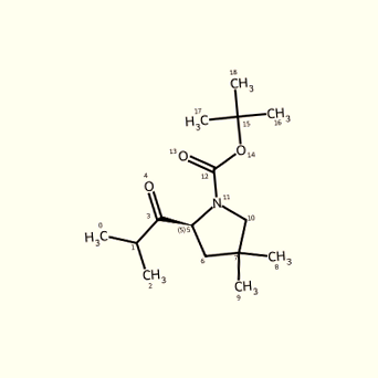 CC(C)C(=O)[C@@H]1CC(C)(C)CN1C(=O)OC(C)(C)C